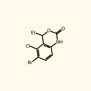 CCC1OC(=O)Nc2ccc(Br)c(Cl)c21